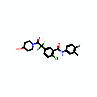 Cc1cc(NC(=O)c2cc(C(F)(F)C(=O)N3CCC(O)CC3)ccc2Cl)ccc1F